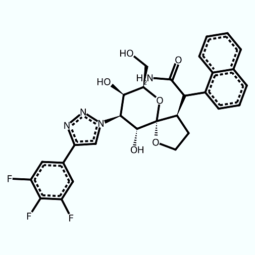 NC(=O)C(c1cccc2ccccc12)[C@H]1CCO[C@]12O[C@H](CO)[C@H](O)[C@H](n1cc(-c3cc(F)c(F)c(F)c3)nn1)[C@H]2O